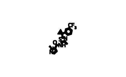 Cc1nc(C2(c3cccc(C(F)(F)F)c3)CC2)sc1NC(=O)c1ccnn1C